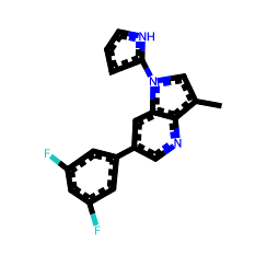 Cc1cn(-c2ccc[nH]2)c2cc(-c3cc(F)cc(F)c3)cnc12